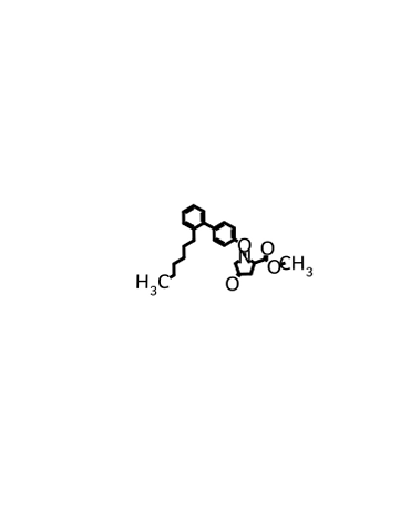 CCCCCCc1ccccc1-c1ccc(ON2CC(=O)CC2C(=O)OC)cc1